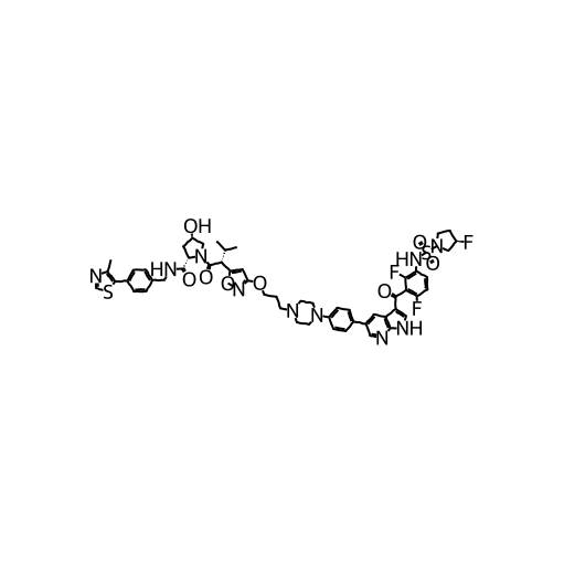 Cc1ncsc1-c1ccc(CNC(=O)[C@@H]2C[C@@H](O)CN2C(=O)[C@@H](c2cc(OCCCN3CCN(c4ccc(-c5cnc6[nH]cc(C(=O)c7c(F)ccc(NS(=O)(=O)N8CC[C@@H](F)C8)c7F)c6c5)cc4)CC3)no2)C(C)C)cc1